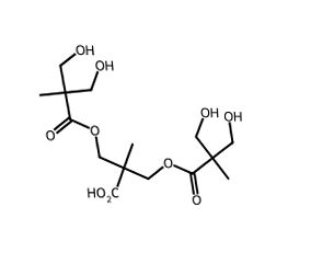 CC(COC(=O)C(C)(CO)CO)(COC(=O)C(C)(CO)CO)C(=O)O